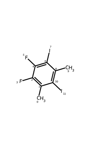 Cc1c(F)c(F)c(I)c(C)c1I